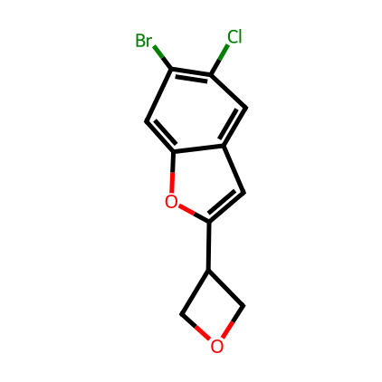 Clc1cc2cc(C3COC3)oc2cc1Br